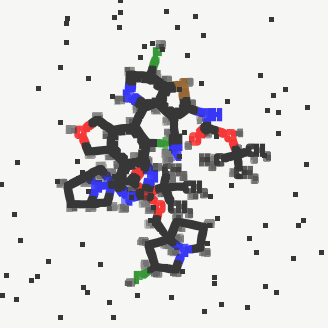 CC(C)(C)OC(=O)Nc1sc2c(F)cnc(-c3c4c(c5c(N6C7CCC6CN(C(=O)OC(C)(C)C)C7)nc(OC[C@@]67CCCN6C[C@@H](F)C7)nc5c3F)COC4)c2c1C#N